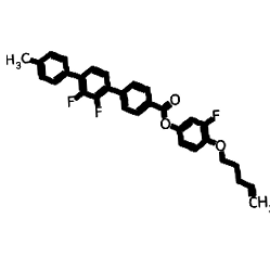 C=CCCCOc1ccc(OC(=O)c2ccc(-c3ccc(-c4ccc(C)cc4)c(F)c3F)cc2)cc1F